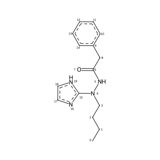 CCCCN(NC(=O)Cc1ccccc1)c1ncc[nH]1